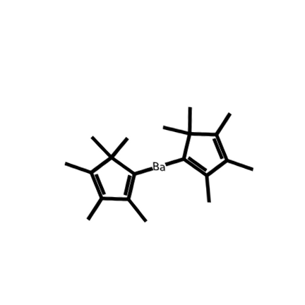 CC1=C(C)C(C)(C)[C]([Ba][C]2=C(C)C(C)=C(C)C2(C)C)=C1C